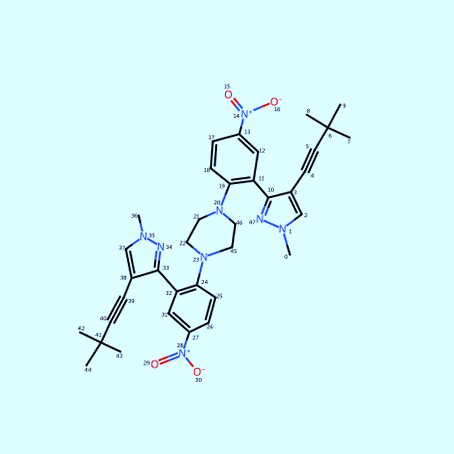 Cn1cc(C#CC(C)(C)C)c(-c2cc([N+](=O)[O-])ccc2N2CCN(c3ccc([N+](=O)[O-])cc3-c3nn(C)cc3C#CC(C)(C)C)CC2)n1